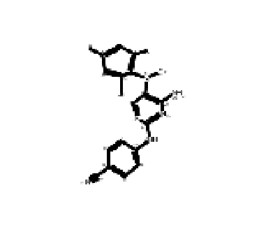 Cc1cc(C)c(N(Cl)c2cnc(Nc3ccc(C#N)cc3)nc2N)c(C)c1